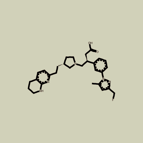 Cc1cc(CF)nn1-c1cccc([C@H](CC(=O)O)CN2CC[C@@H](CCc3ccc4c(n3)NCCC4)C2)c1